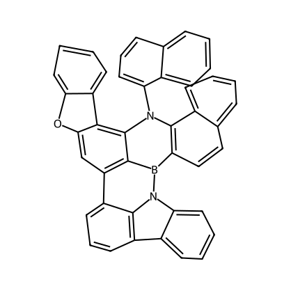 c1ccc2c(N3c4c(ccc5ccccc45)B4c5c(cc6oc7ccccc7c6c53)-c3cccc5c6ccccc6n4c35)cccc2c1